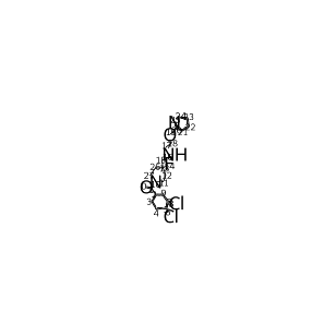 O=C(c1ccc(Cl)c(Cl)c1)N1CCC(F)(CNCCOc2ccccn2)CC1